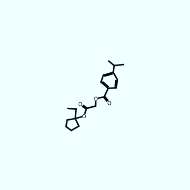 CCC1(OC(=O)COC(=O)c2ccc(C(C)C)cc2)CCCC1